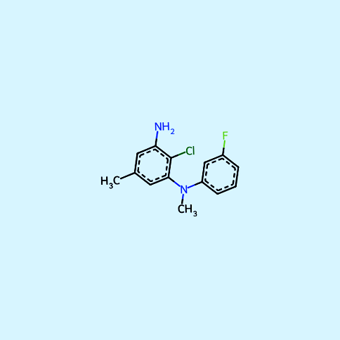 Cc1cc(N)c(Cl)c(N(C)c2cccc(F)c2)c1